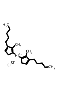 CCCCCC1=CC[C]([Hf+2][C]2=C(C)C(CCCCC)=CC2)=C1C.[Cl-].[Cl-]